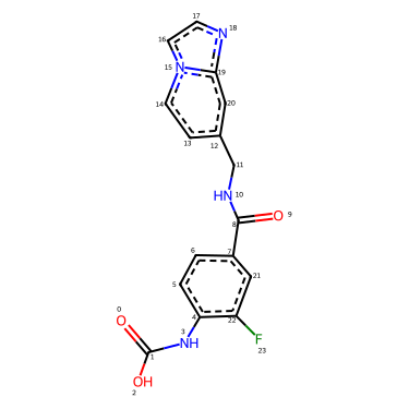 O=C(O)Nc1ccc(C(=O)NCc2ccn3ccnc3c2)cc1F